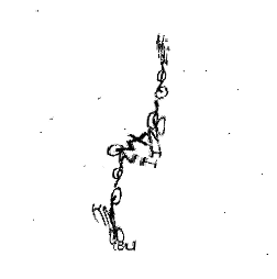 CC(C)(CCC(=O)NCCOCCOCCNC(=O)OC(C)(C)C)CNC(=O)OCCOCCOCCN=[N+]=[N-]